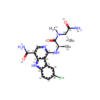 CN(C(=O)[C@H](Nc1ncc(C(N)=O)c2[nH]c3ccc(F)cc3c12)C(C)(C)C)[C@H](C(N)=O)C(C)(C)C